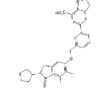 Cc1c(OCc2cccc(-c3cc4c(c(C(=O)O)c3)OCC4)c2)cc2c(c1C)C(=O)C(C1CCCC1)C2